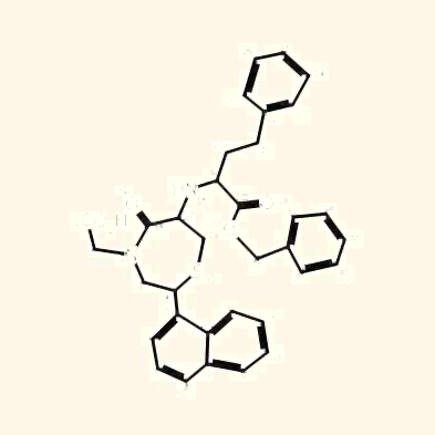 O=C(O)CN1CC(c2cccc3ccccc23)SCC(NC(CCc2ccccc2)C(=O)OCc2ccccc2)C1=O